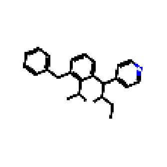 CCC(C)[C](c1ccncc1)c1cccc(Cc2ccccc2)c1C(C)C